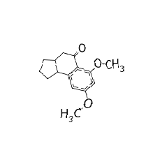 COc1cc(OC)c2c(c1)C1CCCC1CC2=O